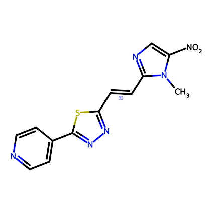 Cn1c([N+](=O)[O-])cnc1/C=C/c1nnc(-c2ccncc2)s1